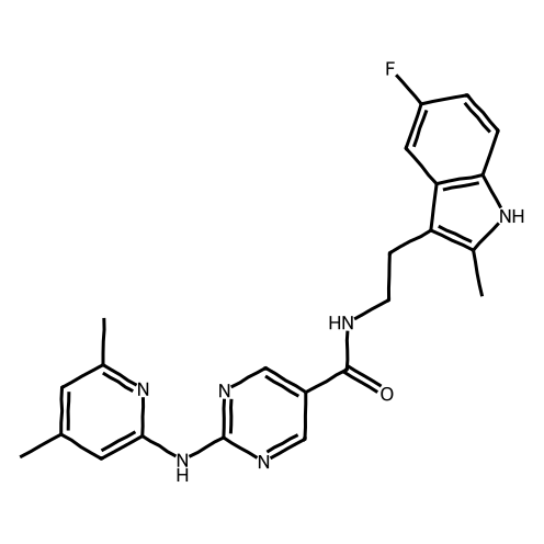 Cc1cc(C)nc(Nc2ncc(C(=O)NCCc3c(C)[nH]c4ccc(F)cc34)cn2)c1